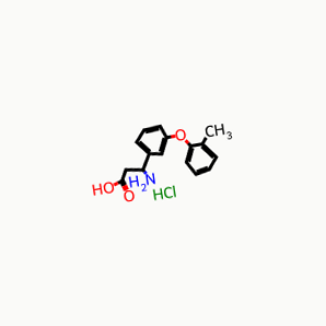 Cc1ccccc1Oc1cccc(C(N)CC(=O)O)c1.Cl